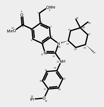 COCc1cc2c(cc1C(=O)OC)nc(Nc1ccc(OC(C)C)cc1)n2[C@H]1C[C@@H](C)CC(C)(C)C1